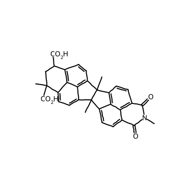 CN1C(=O)c2ccc3c4c(ccc(c24)C1=O)C1(C)c2ccc4c5c(ccc(c25)C31C)C(C(=O)O)CC4(C)C(=O)O